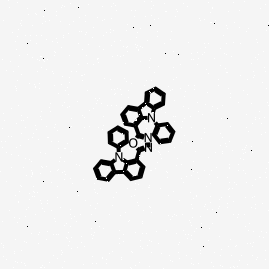 c1ccc(-n2c3ccccc3c3cccc(-c4nnc(-c5cccc6c7ccccc7n(-c7ccccc7)c56)o4)c32)cc1